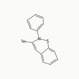 [2H]C1=Cc2ccccc2SN1c1ccccc1